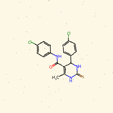 CC1=C(C(=O)Nc2ccc(Cl)cc2)C(c2ccc(Cl)cc2)NC(=S)N1